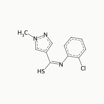 Cn1cc(/C(S)=N\c2ccccc2Cl)cn1